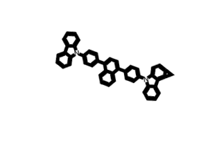 c1ccc2c(-c3ccc(-n4c5ccccc5c5c6c(ccc54)C6)cc3)ccc(-c3ccc(-n4c5ccccc5c5ccccc54)cc3)c2c1